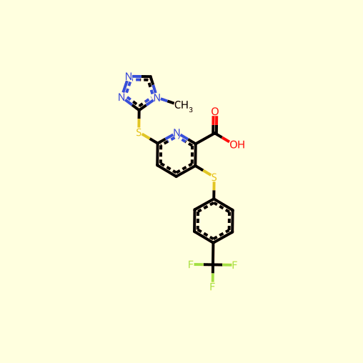 Cn1cnnc1Sc1ccc(Sc2ccc(C(F)(F)F)cc2)c(C(=O)O)n1